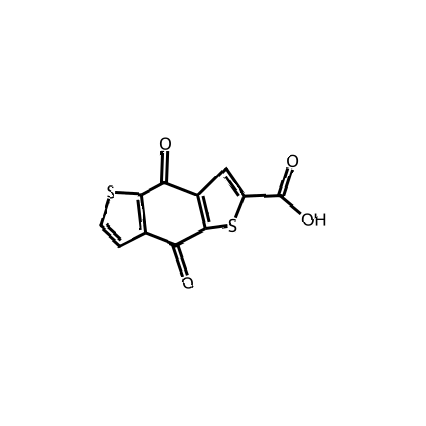 O=C(O)c1cc2c(s1)C(=O)c1ccsc1C2=O